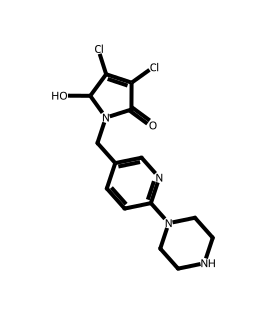 O=C1C(Cl)=C(Cl)C(O)N1Cc1ccc(N2CCNCC2)nc1